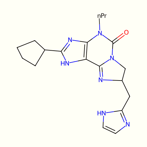 CCCN1C(=O)N2CC(Cc3ncc[nH]3)N=C2c2[nH]c(C3CCCC3)nc21